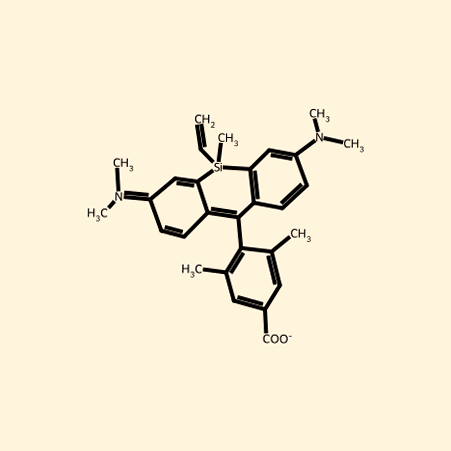 C=C[Si]1(C)C2=CC(=[N+](C)C)C=CC2=C(c2c(C)cc(C(=O)[O-])cc2C)c2ccc(N(C)C)cc21